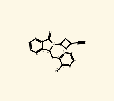 C#CC1CC(N2C(=O)c3ccccc3C2Cc2ncccc2Br)C1